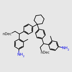 CCCCCCCCCCCC(c1ccc(C2(c3ccc(C(CCCCCCCCCCC)c4ccc(N)cc4C)cc3)CCCCC2)cc1)c1ccc(N)cc1C